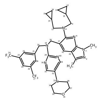 Cc1nn(C)c2nc(N(CC3CC3)CC3CC3)c(CN(Cc3cc(C(F)(F)F)cc(C(F)(F)F)c3)c3ncc(N4CCOCC4)cn3)cc12